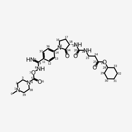 CN1CCN(C(=O)ONC(=N)c2ccc(N3CC[C@H](NC(=O)NCCC(=O)OC4CCCCC4)C3=O)cc2)CC1